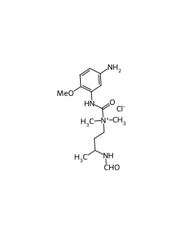 COc1ccc(N)cc1NC(=O)[N+](C)(C)CCC(C)NC=O.[Cl-]